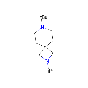 CC(C)N1CC2(CCN(C(C)(C)C)CC2)C1